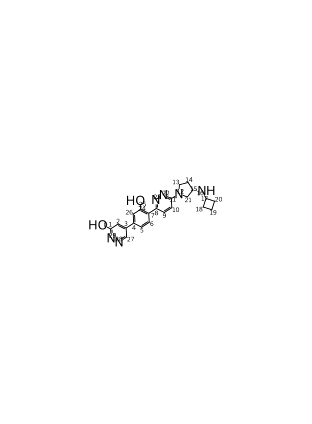 Oc1cc(-c2ccc(-c3ccc(N4CC[C@H](NC5CCC5)C4)nn3)c(O)c2)cnn1